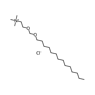 CCCCCCCCCCCCCCOCOCC[N+](C)(C)C.[Cl-]